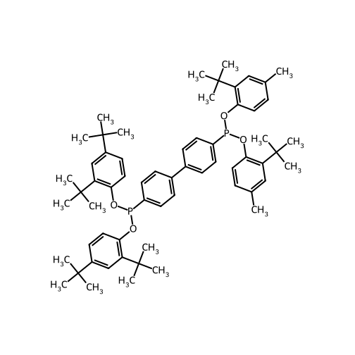 Cc1ccc(OP(Oc2ccc(C)cc2C(C)(C)C)c2ccc(-c3ccc(P(Oc4ccc(C(C)(C)C)cc4C(C)(C)C)Oc4ccc(C(C)(C)C)cc4C(C)(C)C)cc3)cc2)c(C(C)(C)C)c1